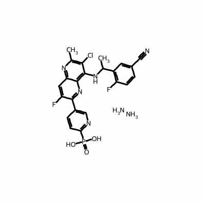 Cc1nc2cc(F)c(-c3ccc(P(=O)(O)O)nc3)nc2c(NC(C)c2cc(C#N)ccc2F)c1Cl.N.N